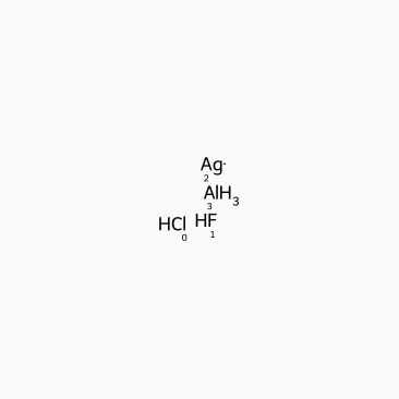 Cl.F.[Ag].[AlH3]